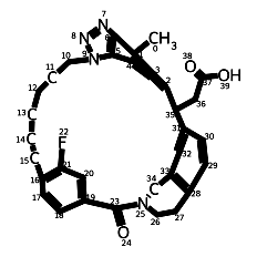 Cc1c2ccc3c1nnn3CCCCCCc1ccc(cc1F)C(=O)N1CCc3ccc(cc3C1)C2CC(=O)O